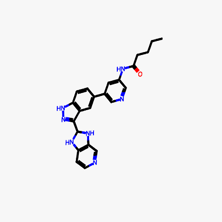 CCCCC(=O)Nc1cncc(-c2ccc3[nH]nc(C4Nc5ccncc5N4)c3c2)c1